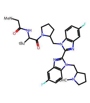 CNCC(=O)NC(C(=O)N1CCCC1Cn1c(-c2nc3cc(F)ccc3n2CC2CCCN2C=O)nc2cc(F)ccc21)C(C)(C)C